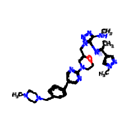 CNc1nnn(CC2CN(c3ncc(-c4ccc(CN5CCN(C)CC5)cc4)cn3)CCO2)c1/N=C(\C)c1cnn(C)c1